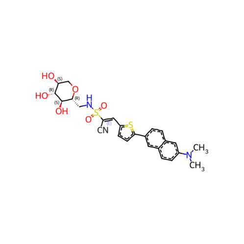 CN(C)c1ccc2cc(-c3ccc(/C=C(\C#N)S(=O)(=O)NC[C@H]4OC[C@H](O)[C@@H](O)[C@@H]4O)s3)ccc2c1